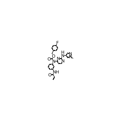 C=CC(=O)Nc1cccc(N(C(=O)OCc2ccc(F)cc2)c2ccnc(Nc3cnn(C)c3)n2)c1